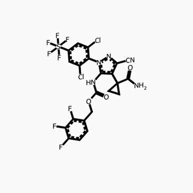 N#Cc1nn(-c2c(Cl)cc(S(F)(F)(F)(F)F)cc2Cl)c(NC(=O)OCc2ccc(F)c(F)c2F)c1C1(C(N)=O)CC1